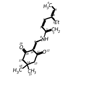 C=C(/C=C\C(=C/C)CC)NC=C1C(=O)CC(C)(C)CC1=O